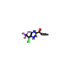 COC(=O)c1cnc(C(Cl)C(I)(I)I)cn1